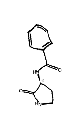 O=C(N[C@H]1CCNC1=O)c1ccccc1